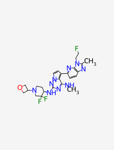 CNc1nc(N[C@@H]2CCN(C3COC3)CC2(F)F)nn2ccc(-c3ccc4nc(C)n(CCF)c4n3)c12